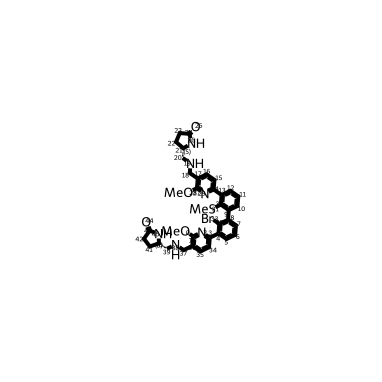 COc1nc(-c2cccc(-c3cccc(-c4ccc(CNC[C@@H]5CCC(=O)N5)c(OC)n4)c3SC)c2Br)ccc1CNC[C@@H]1CCC(=O)N1